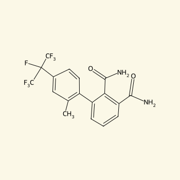 Cc1cc(C(F)(C(F)(F)F)C(F)(F)F)ccc1-c1cccc(C(N)=O)c1C(N)=O